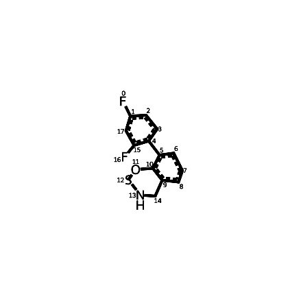 Fc1ccc(-c2cccc3c2OSNC3)c(F)c1